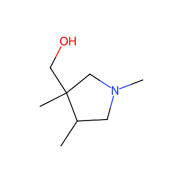 CC1CN(C)CC1(C)CO